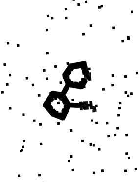 Nc1ccccc1-c1[c]nccc1